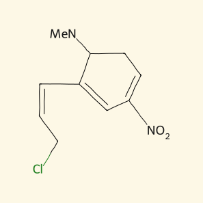 CNC1CC=C([N+](=O)[O-])C=C1/C=C\CCl